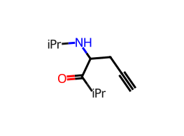 C#CCC(NC(C)C)C(=O)C(C)C